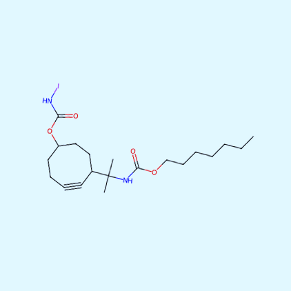 CCCCCCCOC(=O)NC(C)(C)C1C#CCCC(OC(=O)NI)CC1